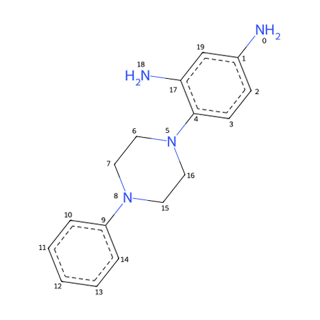 Nc1ccc(N2CCN(c3ccccc3)CC2)c(N)c1